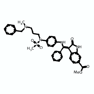 COC(=O)c1ccc2c(c1)NC(=O)/C2=C(\Nc1ccc(N(CCCN(C)Cc2ccccc2)S(C)(=O)=O)cc1)c1ccccc1